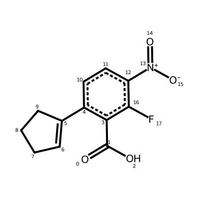 O=C(O)c1c(C2=CCCC2)ccc([N+](=O)[O-])c1F